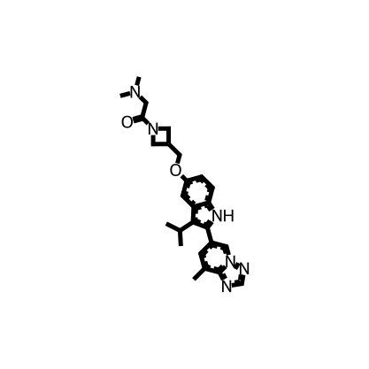 Cc1cc(-c2[nH]c3ccc(OCC4CN(C(=O)CN(C)C)C4)cc3c2C(C)C)cn2ncnc12